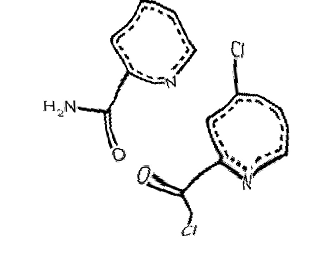 NC(=O)c1ccccn1.O=C(Cl)c1cc(Cl)ccn1